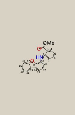 COC(=O)c1ccccc1Nc1cccc2c1oc1ccccc12